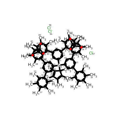 CC1=C(C)C(C)([Si](c2cc(-c3c(C)c(C)c(C)c(C)c3C)cc(-c3c(C)c(C)c(C)c(C)c3C)c2)(c2cc(-c3c(C)c(C)c(C)c(C)c3C)cc(-c3c(C)c(C)c(C)c(C)c3C)c2)c2cc(-c3c(C)c(C)c(C)c(C)c3C)cc(-c3c(C)c(C)c(C)c(C)c3C)c2)[C]([Ti+3])=C1C.[Cl-].[Cl-].[Cl-]